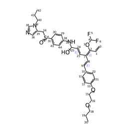 C=C/C(OC(F)F)=C(\C=C\c1ccc(OCCOCCC)cc1)/C=C/C(O)Nc1ccc([S+]([O-])Cc2cncn2CCC)cc1